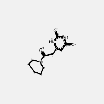 O=C(Cc1cc(=O)[nH]c(=O)[nH]1)N1CCCCC1